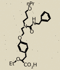 CCCOCCCN(CCOc1ccc(CC(OCC)C(=O)O)cc1)C(=O)NCc1ccccc1